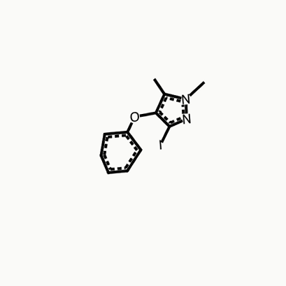 Cc1c(Oc2ccccc2)c(I)nn1C